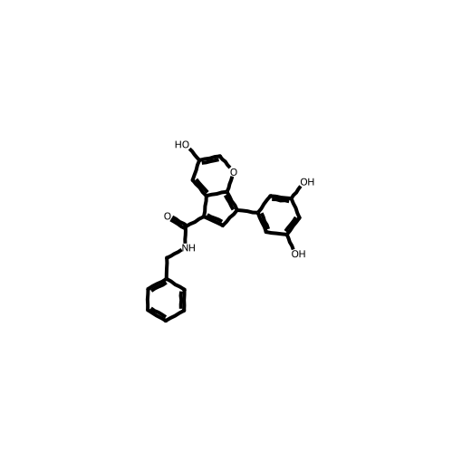 O=C(NCc1ccccc1)c1cc(-c2cc(O)cc(O)c2)c2occ(O)cc1-2